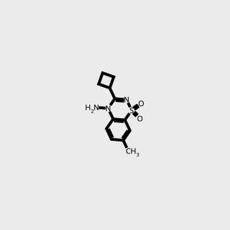 Cc1ccc2c(c1)S(=O)(=O)N=C(C1CCC1)N2N